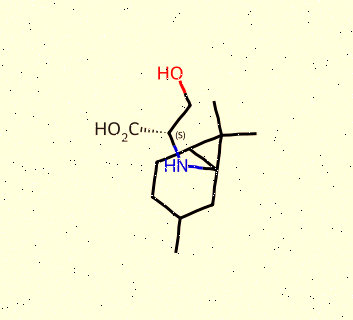 CC1CCC2C(C)(C)C2(N[C@@H](CO)C(=O)O)C1